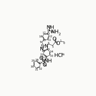 CCOC(=O)CCn1c(Cc2ccc(C(=N)N)cc2)nc2cc(NS(=O)(=O)c3ccccc3)ccc21.Cl